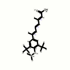 CC(/C=C/C=C(\C)c1cc(C(C)(C)C)c(ON(C)C)c(C(C)(C)C)c1)=C\C(=O)O